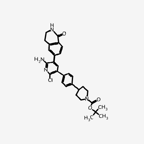 CC(C)(C)OC(=O)N1CCC(c2ccc(-c3cc(-c4ccc5c(c4)CCNC5=O)c(N)nc3Cl)cc2)CC1